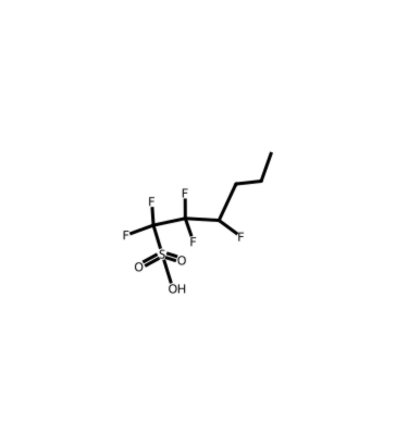 CCCC(F)C(F)(F)C(F)(F)S(=O)(=O)O